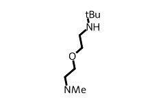 CNCCOCCNC(C)(C)C